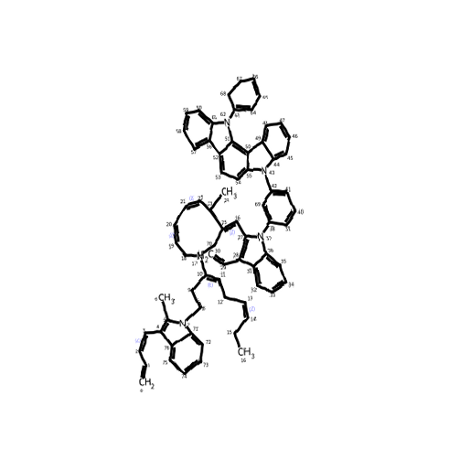 C=C/C=C\c1c(C)n(CC/C(=C\C/C=C\CC)N2C/C=C\C=C/C(C)/C(=C/c3c(C=C)c4ccccc4n3-c3cccc(-n4c5ccccc5c5c6c(ccc54)c4ccccc4n6C4=CC=CCC4)c3)C2)c2ccccc12